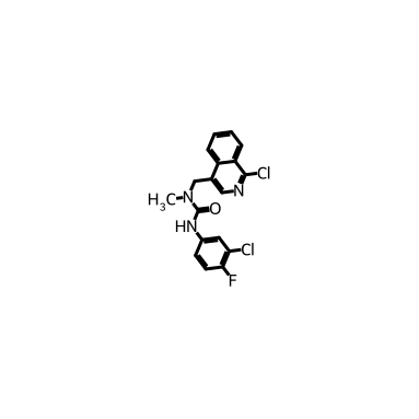 CN(Cc1cnc(Cl)c2ccccc12)C(=O)Nc1ccc(F)c(Cl)c1